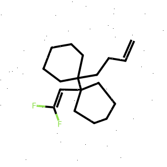 C=CCCC1(C2(C=C(F)F)CCCCC2)CCCCC1